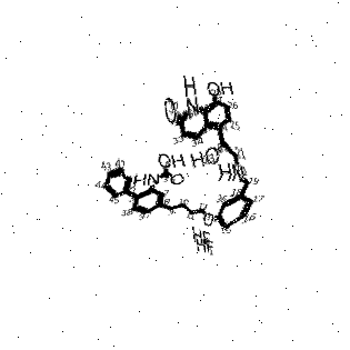 F.F.O=C(O)Nc1cc(CCCCOc2cccc(CNC[C@H](O)c3ccc(O)c4[nH]c(=O)ccc34)c2)ccc1-c1ccccc1